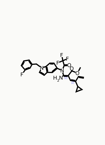 C=C/C(=C\C(C(=O)OC)=C(/N)N(C(=O)C(F)(F)F)c1ccc2c(ccn2Cc2cccc(F)c2)c1)C1CC1